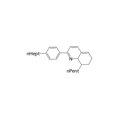 CCCCCCCc1ccc(C2=NC3C(=CCCC3CCCCC)C=C2)cc1